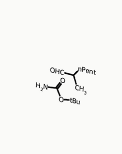 CC(C)(C)OC(N)=O.CCCCCC(C)C=O